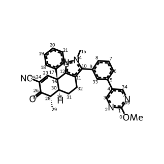 COc1ncc(-c2cccc(-c3c4c(nn3C)[C@@]3(c5ccccc5)C=C(C#N)C(=O)[C@@H](C)[C@@H]3CC4)c2)cn1